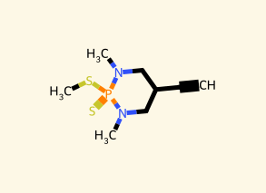 C#CC1CN(C)P(=S)(SC)N(C)C1